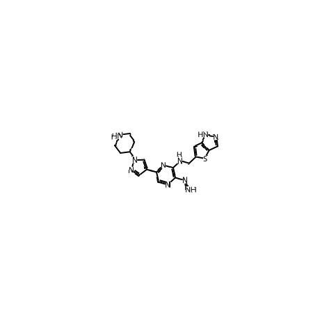 N=Nc1ncc(-c2cnn(C3CCNCC3)c2)nc1NCc1cc2[nH]ncc2s1